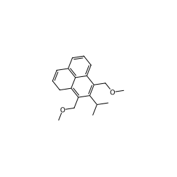 COCc1c(C(C)C)c(COC)c2cccc3c2c1CC=C3